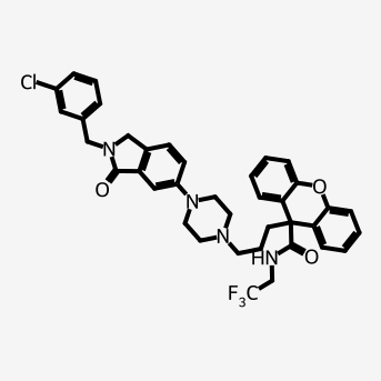 O=C1c2cc(N3CCN(CCCC4(C(=O)NCC(F)(F)F)c5ccccc5Oc5ccccc54)CC3)ccc2CN1Cc1cccc(Cl)c1